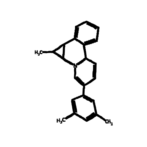 Cc1cc(C)cc(C2=CN3C(C=C2)c2ccccc2C2C(C)C23)c1